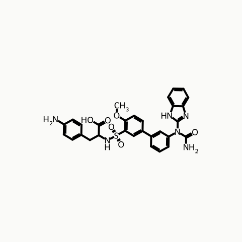 COc1ccc(-c2cccc(N(C(N)=O)c3nc4ccccc4[nH]3)c2)cc1S(=O)(=O)NC(Cc1ccc(N)cc1)C(=O)O